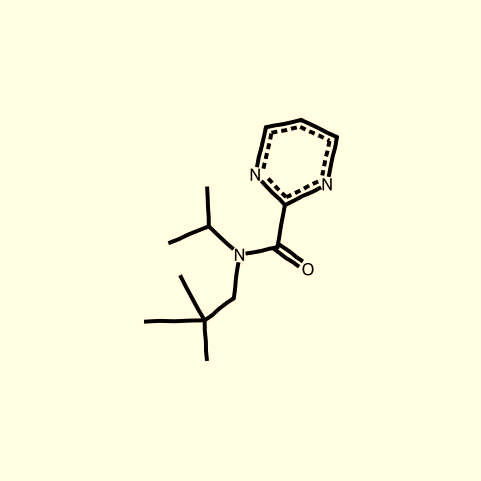 CC(C)N(CC(C)(C)C)C(=O)c1ncccn1